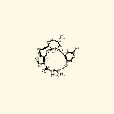 C[C@@H]1COc2ncc(F)cc2CN2C[C@@H](F)COc3cn4ncc(c4nc32)C(=O)N1